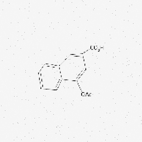 CC(=O)Oc1cc(C(=O)O)cc2ccccc12